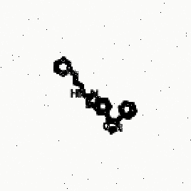 c1ccc(-c2ncoc2-c2ccc3nc(NCCCN4CCCCC4)sc3c2)cc1